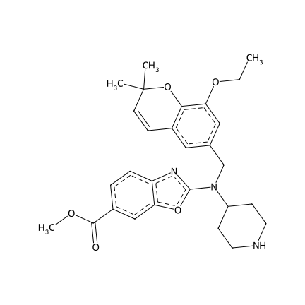 CCOc1cc(CN(c2nc3ccc(C(=O)OC)cc3o2)C2CCNCC2)cc2c1OC(C)(C)C=C2